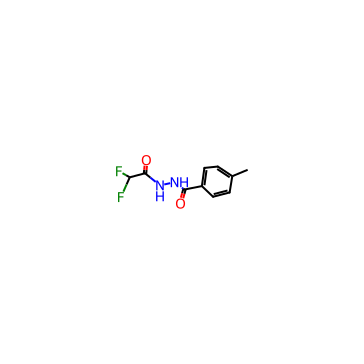 Cc1ccc(C(=O)NNC(=O)C(F)F)cc1